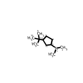 CN(C)C1CCC(C(C)(C)C)C1